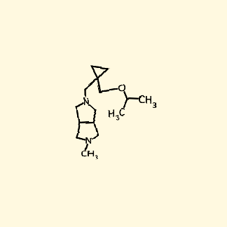 CC(C)OCC1(CN2CC3CN(C)CC3C2)CC1